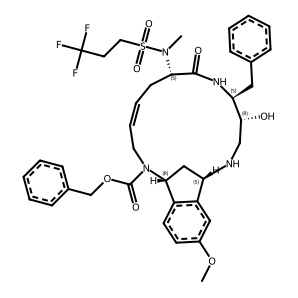 COc1ccc2c(c1)[C@@H]1C[C@H]2N(C(=O)OCc2ccccc2)CC=CC[C@H](N(C)S(=O)(=O)CCC(F)(F)F)C(=O)N[C@@H](Cc2ccccc2)[C@H](O)CN1